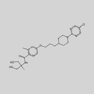 Cc1cc(OCCCC2CCN(c3ncc(Cl)cn3)CC2)ccc1C(=O)NC(C)(CO)CO